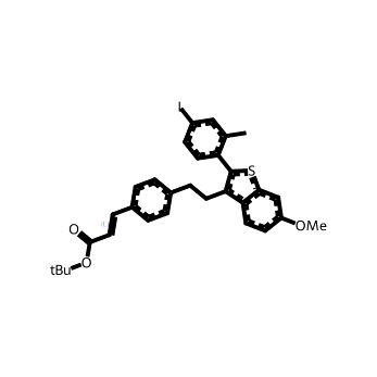 COc1ccc2c(CCc3ccc(/C=C/C(=O)OC(C)(C)C)cc3)c(-c3ccc(I)cc3C)sc2c1